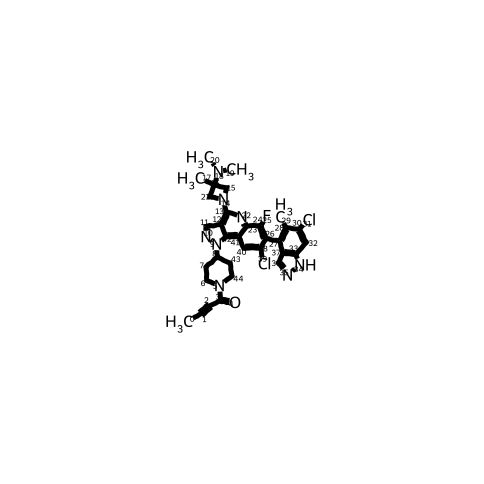 CC#CC(=O)N1CCC(n2ncc3c(N4CC(C)(N(C)C)C4)nc4c(F)c(-c5c(C)c(Cl)cc6[nH]ncc56)c(Cl)cc4c32)CC1